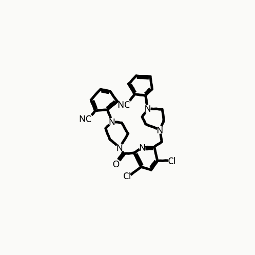 N#Cc1ccccc1N1CCN(Cc2nc(C(=O)N3CCN(c4ccccc4C#N)CC3)c(Cl)cc2Cl)CC1